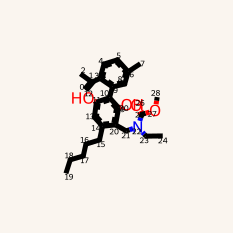 C=C(C)c1ccc(C)cc1-c1c(O)cc(CCCCC)c(CN(CC)C(=O)OC)c1O